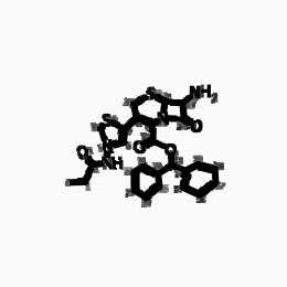 CCC(=O)NN1C=C(C2=C(C(=O)OC(c3ccccc3)c3ccccc3)N3C(=O)C(N)C3SC2)SC1